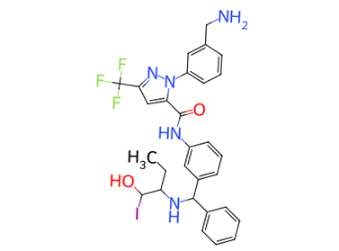 CCC(NC(c1ccccc1)c1cccc(NC(=O)c2cc(C(F)(F)F)nn2-c2cccc(CN)c2)c1)C(O)I